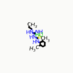 CCCNC(=N)NC(=S)Nc1c(C)cccc1C.Cl